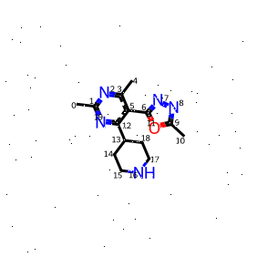 Cc1nc(C)c(-c2nnc(C)o2)c(C2CCNCC2)n1